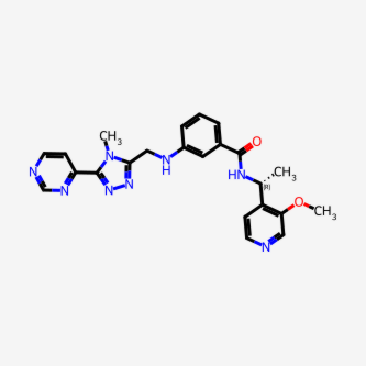 COc1cnccc1[C@@H](C)NC(=O)c1cccc(NCc2nnc(-c3ccncn3)n2C)c1